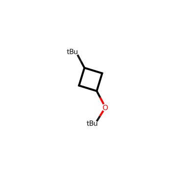 CC(C)(C)OC1CC(C(C)(C)C)C1